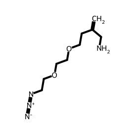 C=C(CN)CCOCCOCCN=[N+]=[N-]